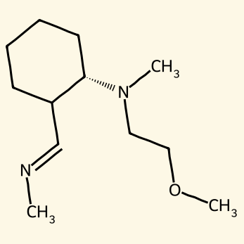 CN=CC1CCCC[C@@H]1N(C)CCOC